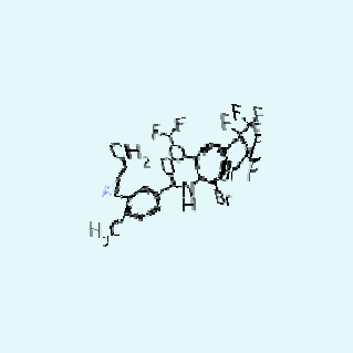 C=C/C=C\c1cc(C(=O)Nc2c(Br)cc(C(F)(C(F)(F)F)C(F)(F)Br)cc2OC(F)F)ccc1C